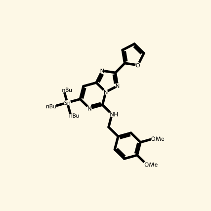 CCC[CH2][Sn]([CH2]CCC)([CH2]CCC)[c]1cc2nc(-c3ccco3)nn2c(NCc2ccc(OC)c(OC)c2)n1